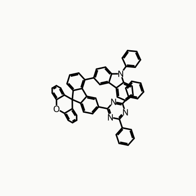 c1ccc(-c2nc(-c3ccccc3)nc(-c3ccc4c(c3)-c3c(-c5ccc6c(c5)c5ccccc5n6-c5ccccc5)cccc3C43c4ccccc4Oc4ccccc43)n2)cc1